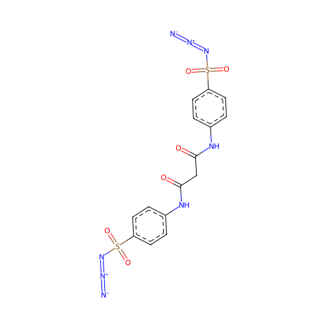 [N-]=[N+]=NS(=O)(=O)c1ccc(NC(=O)CC(=O)Nc2ccc(S(=O)(=O)N=[N+]=[N-])cc2)cc1